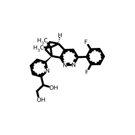 CC1(C)[C@H]2CC[C@@]1(c1cccc(C(O)CO)n1)c1nnc(-c3c(F)cccc3F)cc12